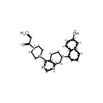 C=CC(=O)N1CCN(c2ncnc3c2CC[C@@H](c2cccc4cc(O)ccc24)C3)CC1